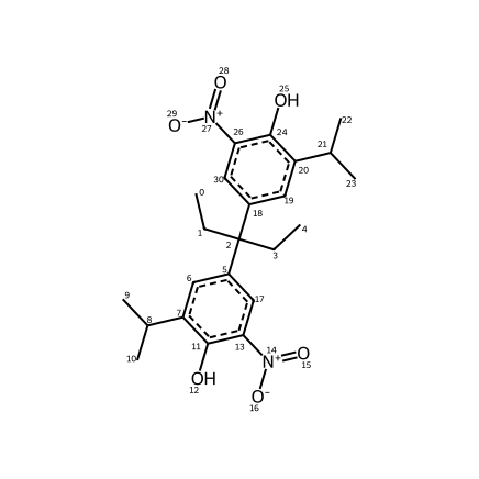 CCC(CC)(c1cc(C(C)C)c(O)c([N+](=O)[O-])c1)c1cc(C(C)C)c(O)c([N+](=O)[O-])c1